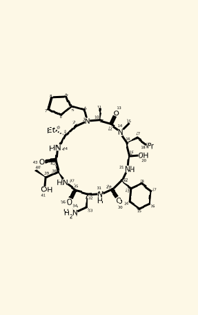 CC[C@@H]1CN(CC2CCCC2)[C@@H](C)C(=O)N(C)[C@@H](CC(C)C)C(O)N[C@@H](C2CCCCC2)C(=O)N[C@@H](CN)C(=O)N[C@@H]([C@H](C)O)C(=O)N1